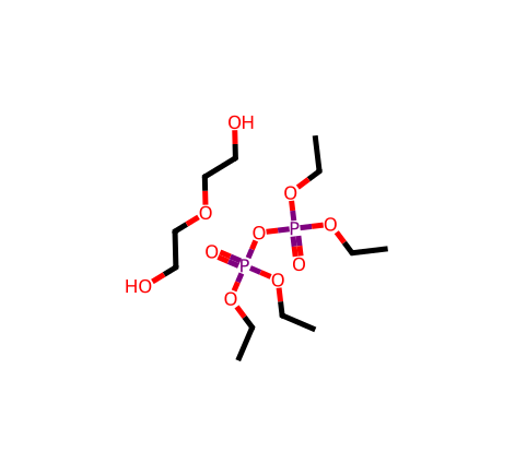 CCOP(=O)(OCC)OP(=O)(OCC)OCC.OCCOCCO